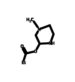 CCC(=O)OC1CN(C)CCN1